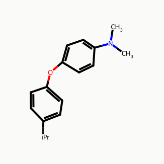 CC(C)c1ccc(Oc2ccc(N(C)C)cc2)cc1